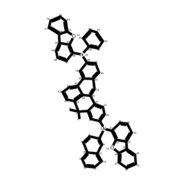 CC1(C)c2cc(N(c3ccc4ccccc4c3)c3cccc4c3oc3ccccc34)ccc2-c2cc3ccc(N(c4ccccc4)c4cccc5c4oc4ccccc45)cc3c3cccc1c23